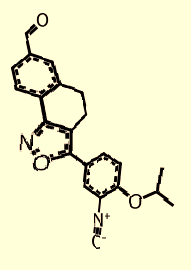 [C-]#[N+]c1cc(-c2onc3c2CCc2cc(C=O)ccc2-3)ccc1OC(C)C